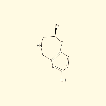 CC[C@@H]1CNCc2nc(O)ccc2O1